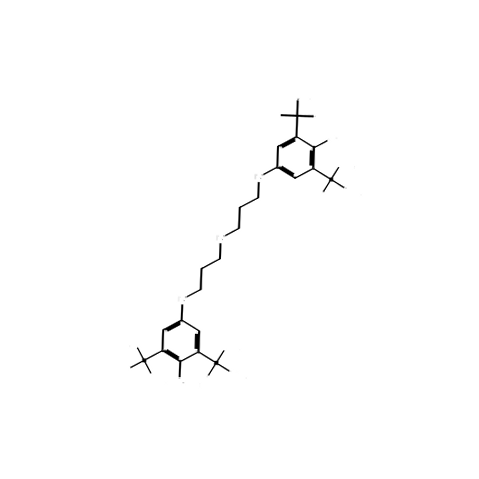 CC(C)(C)c1cc(NCCCNCCCNc2cc(C(C)(C)C)c(O)c(C(C)(C)C)c2)cc(C(C)(C)C)c1O